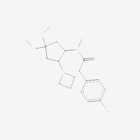 COC1(OC)CC(N2CCC2)C(N(C)C(=O)Cc2ccc(N)cc2)C1